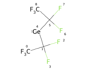 FC(F)(F)[C](F)(F)[Ge][C](F)(F)C(F)(F)F